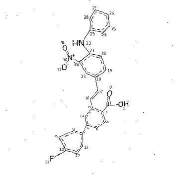 O=C(O)c1ccc(-c2ccc(F)cc2)cc1/C=C/c1ccc(Nc2ccccc2)c([N+](=O)[O-])c1